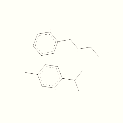 CCCCc1ccccc1.Cc1ccc(C(C)C)cc1